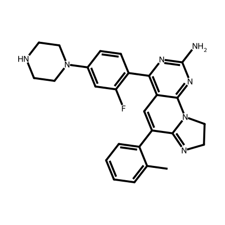 Cc1ccccc1C1=Cc2c(-c3ccc(N4CCNCC4)cc3F)nc(N)nc2N2CCN=C12